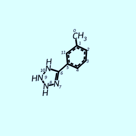 Cc1cccc(C2=NNNN2)c1